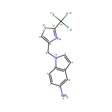 Nc1ccc2c(ccn2Cc2csc(C(F)(F)F)n2)c1